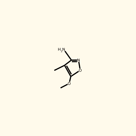 COc1onc(N)c1C